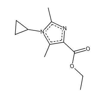 CCOC(=O)c1nc(C)n(C2CC2)c1C